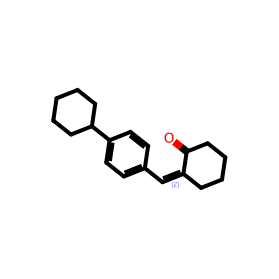 O=C1CCCC/C1=C/c1ccc(C2CCCCC2)cc1